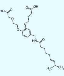 CC(C)/C=C/CCCCC(=O)NCc1ccc(OCCOCC(=O)O)c(OCCCC(=O)O)c1